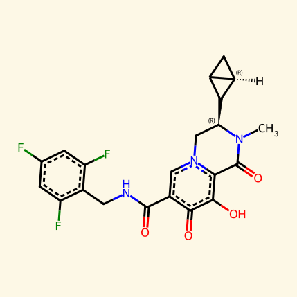 CN1C(=O)c2c(O)c(=O)c(C(=O)NCc3c(F)cc(F)cc3F)cn2C[C@H]1C1C2C[C@H]21